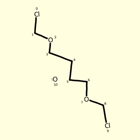 ClCOCCCCOCCl.[O]